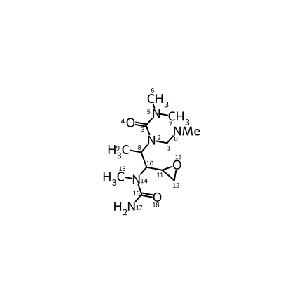 CNCN(C(=O)N(C)C)C(C)C(C1CO1)N(C)C(N)=O